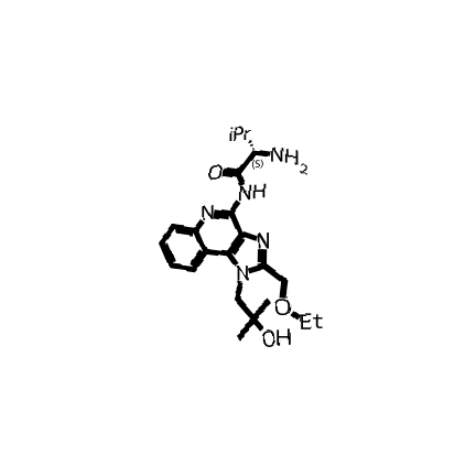 CCOCc1nc2c(NC(=O)[C@@H](N)C(C)C)nc3ccccc3c2n1CC(C)(C)O